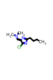 CCCCC1=NC(=CN(C)C)C(Cl)=N1